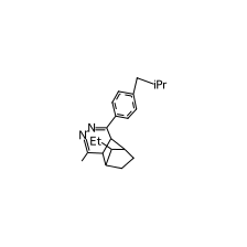 CCC1C2CCC1C1C(c3ccc(CC(C)C)cc3)=NN=C(C)C21